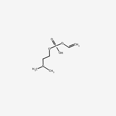 C=COP(=O)(O)OCCN(C)C